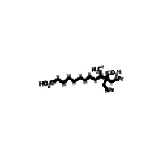 CC(C)CC(CC(C)C)(C(=O)O)C(C)CCCCCCCCC(=O)O